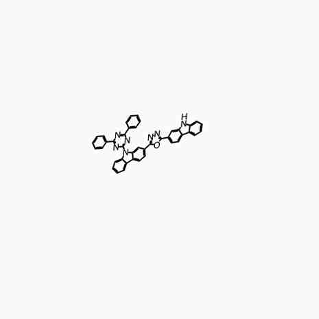 c1ccc(-c2nc(-c3ccccc3)nc(-n3c4ccccc4c4ccc(-c5nnc(-c6ccc7c(c6)[nH]c6ccccc67)o5)cc43)n2)cc1